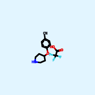 N#Cc1ccc(OC2CCNCC2)cc1.O=C(O)C(F)(F)F